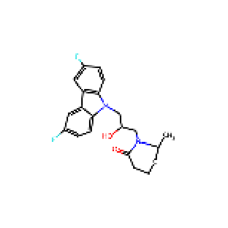 CC1CCCC(=O)N1CC(O)Cn1c2ccc(F)cc2c2cc(F)ccc21